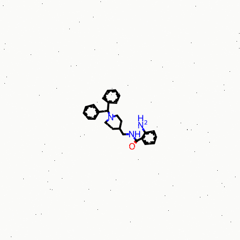 Nc1ccccc1C(=O)NCC1CCN(C(c2ccccc2)c2ccccc2)CC1